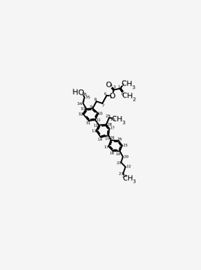 C=C(C)C(=O)OCCCc1cc(-c2ccc(-c3ccc(CCCCC)cc3)cc2CC)ccc1CCO